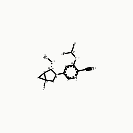 N#Cc1ncc(N2C[C@@H]3CC3[C@@H]2CO)cc1OC(F)F